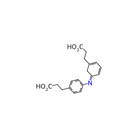 O=C(O)CCC1=CC=C/C(=N/c2ccc(CCC(=O)O)cc2)C1